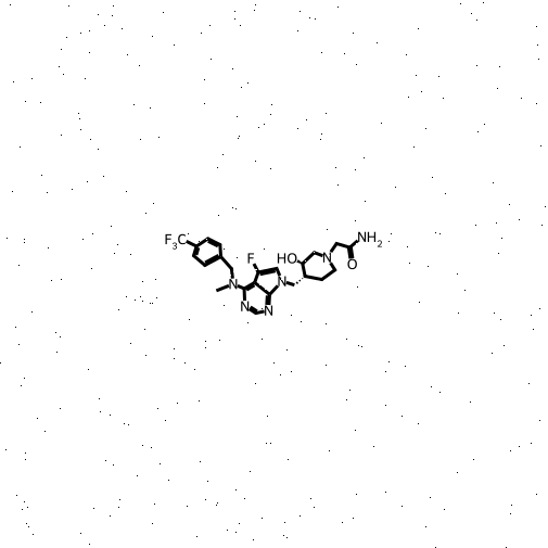 CN(Cc1ccc(C(F)(F)F)cc1)c1ncnc2c1c(F)cn2C[C@H]1CCN(CC(N)=O)C[C@@H]1O